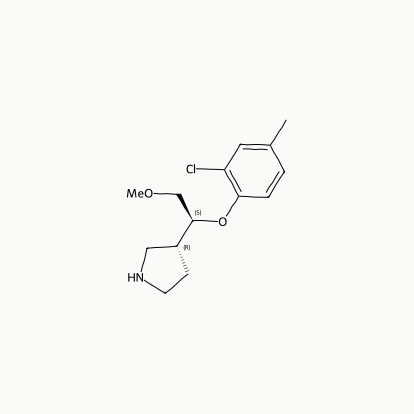 COC[C@@H](Oc1ccc(C)cc1Cl)[C@@H]1CCNC1